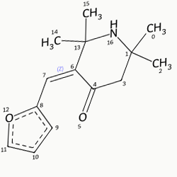 CC1(C)CC(=O)/C(=C\c2ccco2)C(C)(C)N1